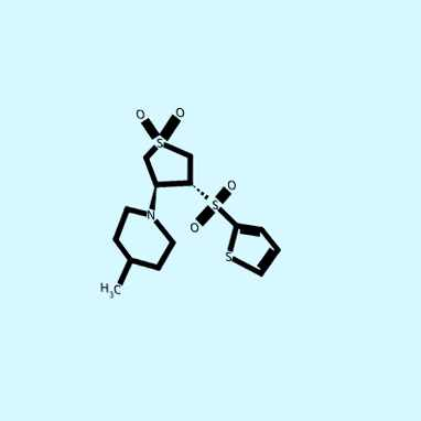 CC1CCN([C@H]2CS(=O)(=O)C[C@@H]2S(=O)(=O)c2cccs2)CC1